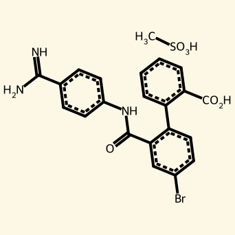 CS(=O)(=O)O.N=C(N)c1ccc(NC(=O)c2cc(Br)ccc2-c2ccccc2C(=O)O)cc1